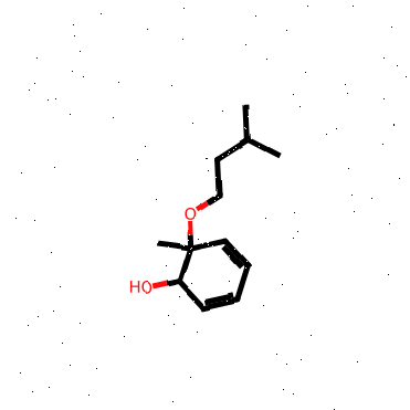 CC(C)CCOC1(C)C=CC=CC1O